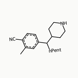 CCCCCC(c1ccc(C#N)c(C)c1)C1CCNCC1